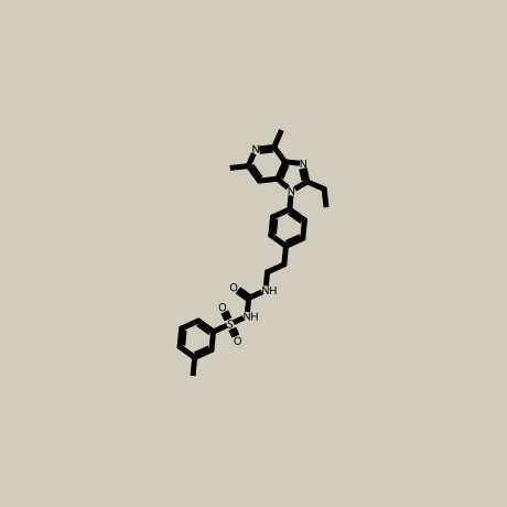 CCc1nc2c(C)nc(C)cc2n1-c1ccc(CCNC(=O)NS(=O)(=O)c2cccc(C)c2)cc1